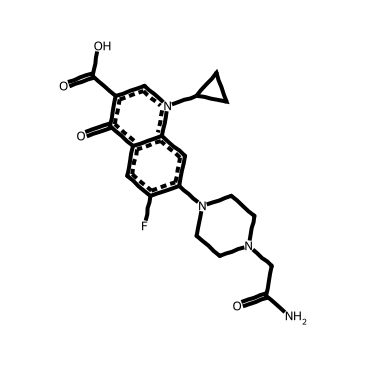 NC(=O)CN1CCN(c2cc3c(cc2F)c(=O)c(C(=O)O)cn3C2CC2)CC1